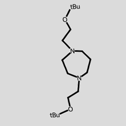 CC(C)(C)OCCN1CCCN(CCOC(C)(C)C)CC1